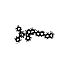 c1ccc(-c2cc(-c3ccccc3)nc(-n3c4ccccc4c4c5cc(-c6ccc7cc(-c8ccc9ccccc9c8)ccc7c6)ccc5ccc43)n2)cc1